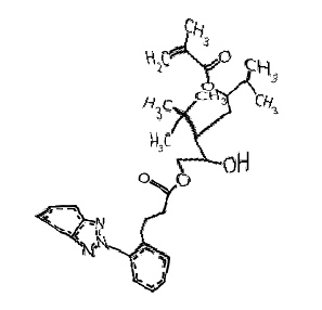 C=C(C)C(=O)OC(CC(C(O)COC(=O)CCc1ccccc1-n1nc2ccccc2n1)C(C)(C)C)C(C)C